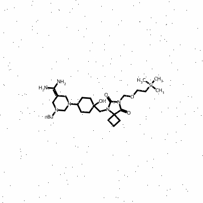 CCCCN1CC(=C(N)N)CN(C2CCC(O)(CN3C(=O)N(COCC[Si](C)(C)C)C(=O)C34CCC4)CC2)C1